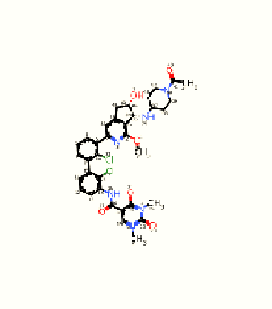 COc1nc(-c2cccc(-c3cccc(NC(=O)c4cn(C)c(=O)n(C)c4=O)c3Cl)c2Cl)cc2c1[C@@H](NC1CCN(C(C)=O)CC1)[C@@H](O)C2